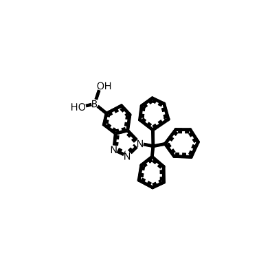 OB(O)c1ccc2c(c1)nnn2C(c1ccccc1)(c1ccccc1)c1ccccc1